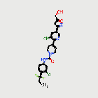 CCC(F)(F)c1ccc(NC(=O)N2CC=C(c3ncc(-c4cc(CO)on4)cc3Cl)CC2)cc1Cl